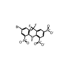 CN(c1c(Cl)cc(Br)cc1[N+](=O)[O-])c1c([N+](=O)[O-])cc([N+](=O)[O-])cc1C(F)(F)F